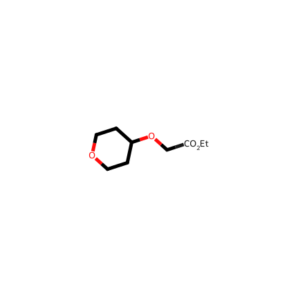 CCOC(=O)COC1CCOCC1